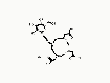 O=C(O)CN1CCN(CC(=O)O)CCN(OCC[C@H]2O[C@@H](CO)[C@@H](O)[C@@H](O)[C@@H]2O)CCN(CC(=O)O)CC1.[Gd]